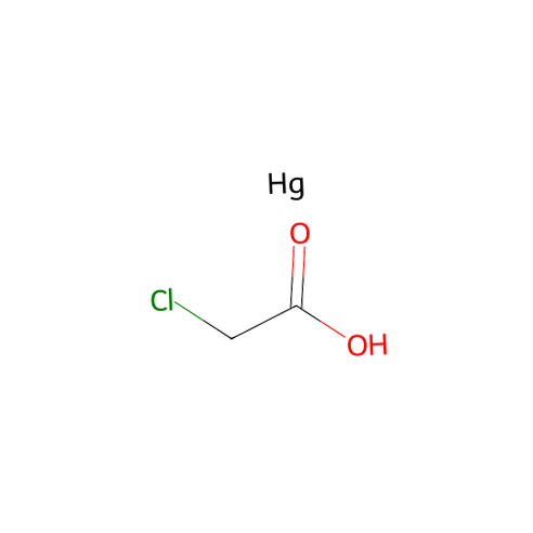 O=C(O)CCl.[Hg]